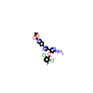 C[C@@H](Oc1cc(N)ncc1-c1cnn(C2CC3CN(C(=O)OC(C)(C)C)CC3C2)c1)c1c(Cl)ccc(F)c1Cl